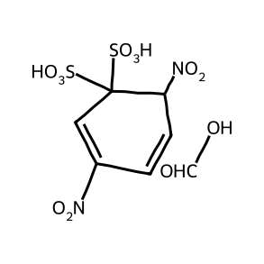 O=CO.O=[N+]([O-])C1=CC(S(=O)(=O)O)(S(=O)(=O)O)C([N+](=O)[O-])C=C1